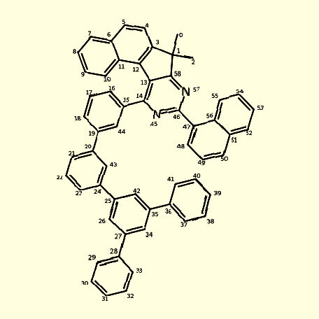 CC1(C)c2ccc3ccccc3c2-c2c(-c3cccc(-c4cccc(-c5cc(-c6ccccc6)cc(-c6ccccc6)c5)c4)c3)nc(-c3cccc4ccccc34)nc21